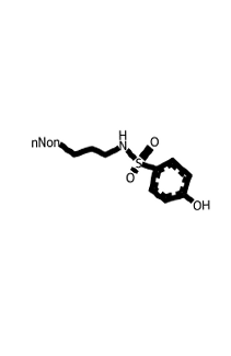 CCCCCCCCCCCCNS(=O)(=O)c1ccc(O)cc1